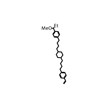 C=Cc1ccc(CCCCC2CCC(CCCCc3ccc(C(CC)OC)cc3)CC2)cc1